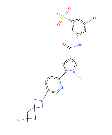 Cn1cc(C(=O)Nc2cc(Cl)cc(S(C)(=O)=O)c2)cc1-c1ccc(N2CC3(C2)CC(F)(F)C3)cn1